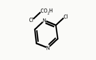 Clc1cnccn1.O=C(O)Cl